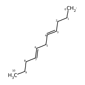 [CH2]CCC=CCC=CCCC